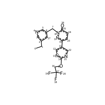 CCc1cncc(Cn2nc(-c3cnc(OCC(F)(F)F)nc3)ccc2=O)c1